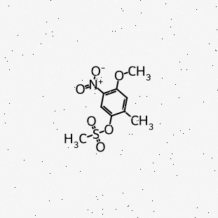 COc1cc(C)c(OS(C)(=O)=O)cc1[N+](=O)[O-]